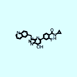 Cl.O=C(NC1CC1)c1ccc(-c2ccc3nnn(Cc4ccc5ncccc5c4)c3n2)cc1F